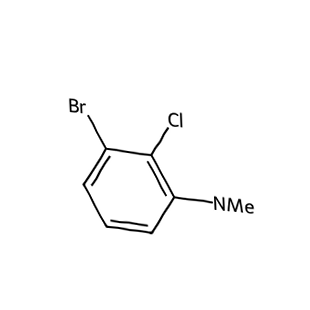 CNc1cccc(Br)c1Cl